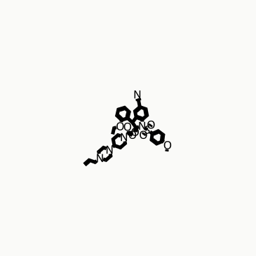 C=CCN1CCN(C2CCN(C(=O)OC3(c4ccccc4OCC)C(=O)N(S(=O)(=O)c4ccc(OC)cc4)c4ccc(C#N)cc43)CC2)CC1